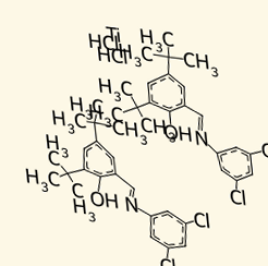 CC(C)(C)c1cc(C=Nc2cc(Cl)cc(Cl)c2)c(O)c(C(C)(C)C)c1.CC(C)(C)c1cc(C=Nc2cc(Cl)cc(Cl)c2)c(O)c(C(C)(C)C)c1.Cl.Cl.[Ti]